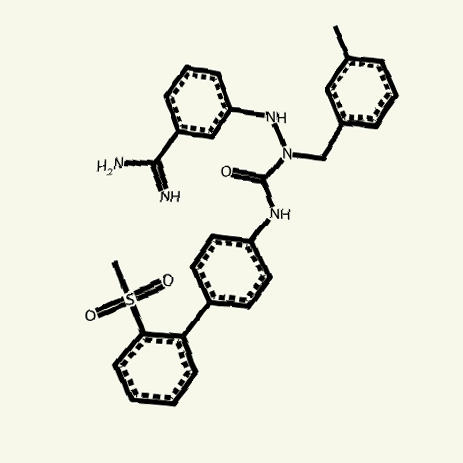 Cc1cccc(CN(Nc2cccc(C(=N)N)c2)C(=O)Nc2ccc(-c3ccccc3S(C)(=O)=O)cc2)c1